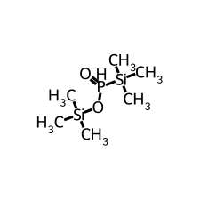 C[Si](C)(C)O[PH](=O)[Si](C)(C)C